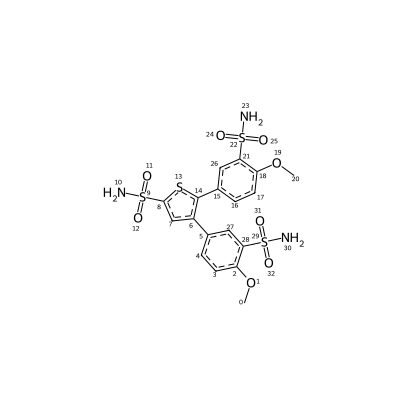 COc1ccc(-c2cc(S(N)(=O)=O)sc2-c2ccc(OC)c(S(N)(=O)=O)c2)cc1S(N)(=O)=O